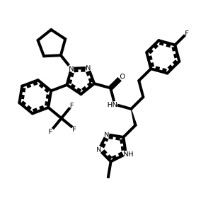 Cc1nnc(C[C@H](CCc2ccc(F)cc2)NC(=O)c2cc(-c3ccccc3C(F)(F)F)n(C3CCCC3)n2)[nH]1